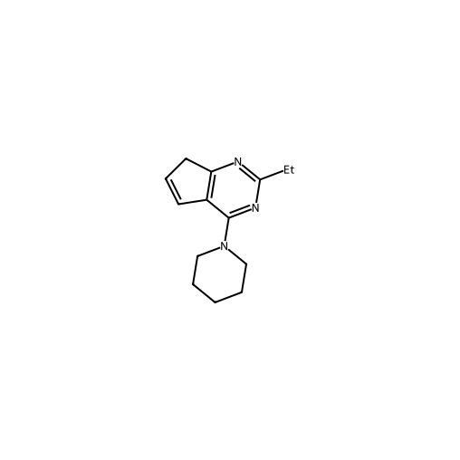 CCc1nc2c(c(N3CCCCC3)n1)C=CC2